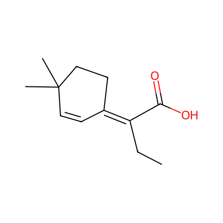 CCC(C(=O)O)=C1C=CC(C)(C)CC1